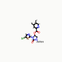 CCCCCCN1CC(OC(=O)c2cc(C)c(C)cn2)N(c2ncc(Br)s2)C1=O